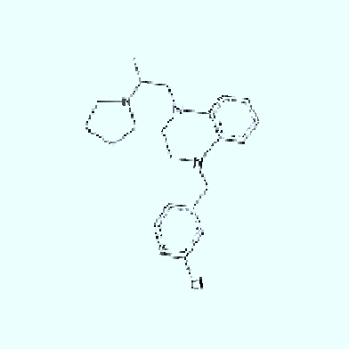 CC(CN1CCN(Cc2cccc(Cl)c2)c2ccccc21)N1CCCC1